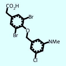 CNc1cc(Cl)cc(COc2c(Br)cc(CC(=O)O)cc2Br)c1